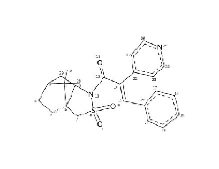 CC1(C)C2CC[C@]13CS(=O)(=O)N(C(=O)/C(=C/c1ccccc1)c1ccncc1)C3C2